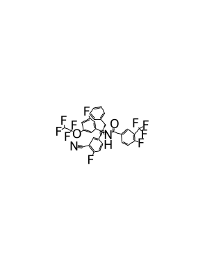 N#Cc1cc([C@@](Cc2ccccc2)(NC(=O)c2ccc(F)c(C(F)(F)F)c2)c2cc(F)cc(OC(F)(F)C(F)F)c2)ccc1F